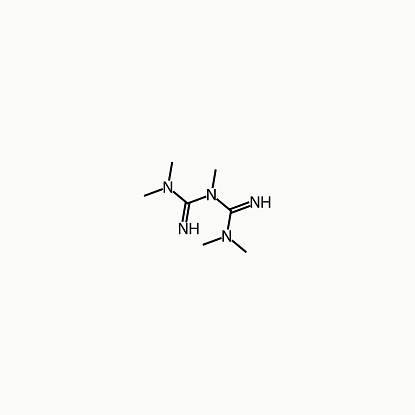 CN(C)C(=N)N(C)C(=N)N(C)C